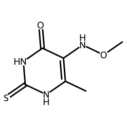 CONc1c(C)[nH]c(=S)[nH]c1=O